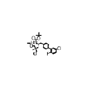 CCOC[C@@](C)(C=O)C[C@@H](Cc1ccc(-c2cc(Cl)ccc2F)cc1)NC(=O)OC(C)(C)C